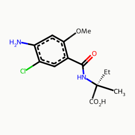 CC[C@@](C)(NC(=O)c1cc(Cl)c(N)cc1OC)C(=O)O